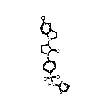 O=C1[C@H](N2CCc3cc(Cl)ccc32)CCN1c1ccc(S(=O)(=O)Nc2nccs2)cc1